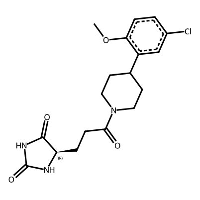 COc1ccc(Cl)cc1C1CCN(C(=O)CC[C@H]2NC(=O)NC2=O)CC1